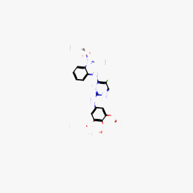 COc1cc(Nc2ncc(F)c(Nc3ccccc3N(C)S(C)(=O)=O)n2)cc(OC)c1OC